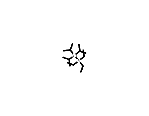 CC[Si](CC)(CC)[Sn]([CH](C)C)([CH](C)C)[CH](C)C